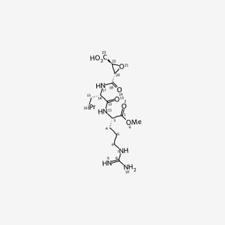 COC(=O)[C@H](CCCNC(=N)N)NC(=O)[C@H](CC(C)C)NC(=O)[C@H]1O[C@@H]1C(=O)O